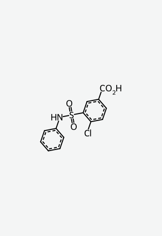 O=C(O)c1ccc(Cl)c(S(=O)(=O)Nc2ccccc2)c1